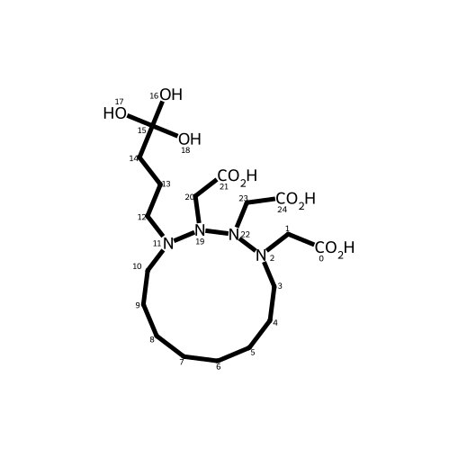 O=C(O)CN1CCCCCCCCN(CCCC(O)(O)O)N(CC(=O)O)N1CC(=O)O